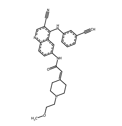 C#Cc1cccc(Nc2c(C#N)cnc3ccc(NC(=O)C=C4CCN(CCOC)CC4)cc23)c1